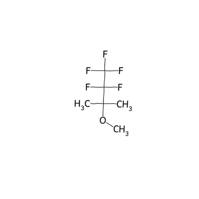 COC(C)(C)C(F)(F)C(F)(F)F